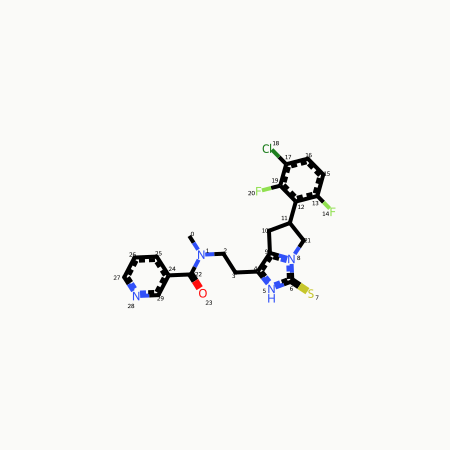 CN(CCc1[nH]c(=S)n2c1CC(c1c(F)ccc(Cl)c1F)C2)C(=O)c1cccnc1